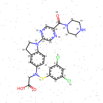 O=C(O)CN(Sc1cc(Cl)cc(Cl)c1)c1ccc2c(c1)CCN2c1cnc(C(=O)N2CCNCC2)cn1